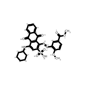 COC(=O)c1ccc(OC)c(N=Nc2c(S(=O)(=O)O)cc(NC3CCCCC3)c3c2C(=O)c2ccccc2C3=O)c1